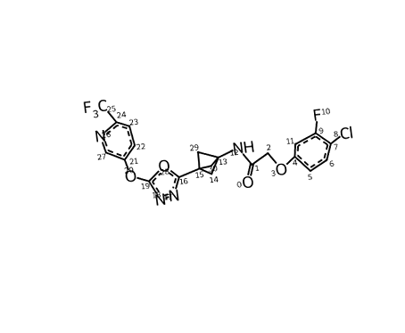 O=C(COc1ccc(Cl)c(F)c1)NC12CC(c3nnc(Oc4ccc(C(F)(F)F)nc4)o3)(C1)C2